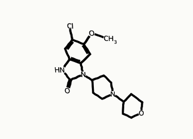 COc1cc2c(cc1Cl)[nH]c(=O)n2C1CCN(C2CCOCC2)CC1